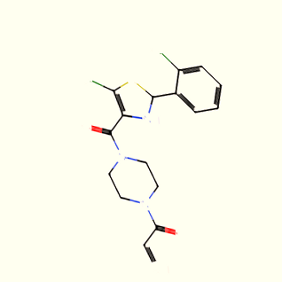 C=CC(=O)N1CCN(C(=O)C2=C(Cl)SC(c3ccccc3Cl)N2)CC1